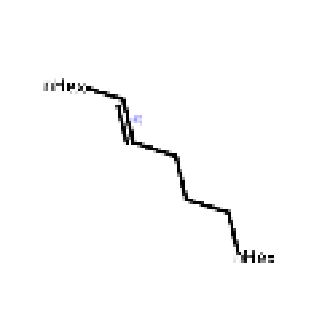 CCCCCC/C=C/CCCCCCCCC